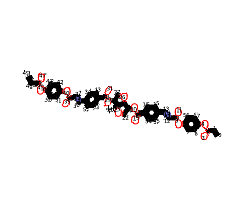 C=CC(=O)Oc1ccc(OC(=O)/C=C/c2ccc(C(=O)O[C@H]3CO[C@H]4C3OC[C@H]4OC(=O)c3ccc(/C=C/C(=O)Oc4ccc(OC(=O)C=C)cc4)cc3)cc2)cc1